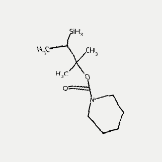 CC([SiH3])C(C)(C)OC(=O)N1CCCCC1